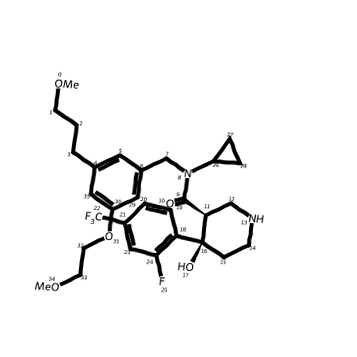 COCCCc1cc(CN(C(=O)[C@H]2CNCC[C@]2(O)c2ccc(C(F)(F)F)cc2F)C2CC2)cc(OCCOC)c1